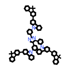 CC1(C)c2ccccc2-c2cc(-c3ccc4c(c3)c3ccccc3n4-c3cccc(-c4ncc(-c5cccc(-n6c7ccccc7c7cc(-c8ccc9c(c8)-c8ccccc8C9(C)C)ccc76)c5)c(-c5cccc(-n6c7ccccc7c7cc(-c8ccc9c(c8)-c8ccccc8C9(C)C)ccc76)c5)n4)c3)ccc21